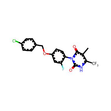 Cc1c(C(F)(F)F)[nH]c(=O)n(-c2ccc(OCc3ccc(Cl)cc3)cc2F)c1=O